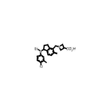 CCN(c1ccc(Cl)c(C)c1)C1CCc2c1ccc(C)c2CN1CC(C(=O)O)C1